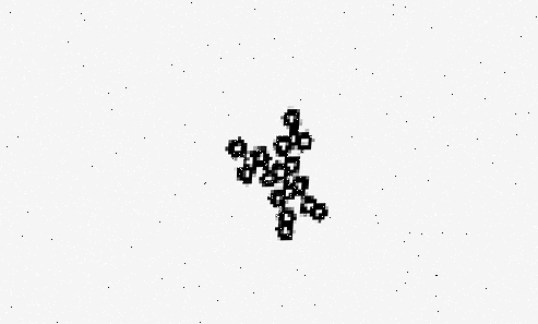 c1ccc(-p2c3ccccc3c3c(-c4cccc5c(-c6c7cccc(-c8ccc9ccccc9c8)c7cc7c(-c8ccc9ccccc9c8)cccc67)c6cccc(-c7cccc8c7c7ccccc7p8-c7ccccc7)c6cc45)cccc32)cc1